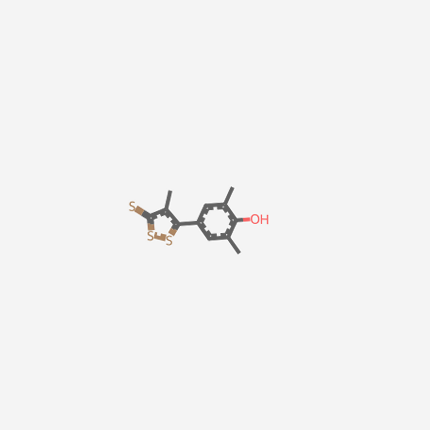 Cc1cc(-c2ssc(=S)c2C)cc(C)c1O